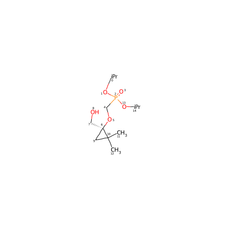 CC(C)OP(=O)(CO[C@]1(CO)CC1(C)C)OC(C)C